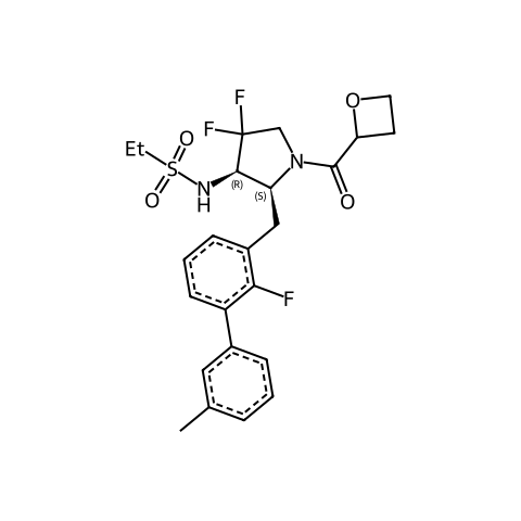 CCS(=O)(=O)N[C@@H]1[C@H](Cc2cccc(-c3cccc(C)c3)c2F)N(C(=O)C2CCO2)CC1(F)F